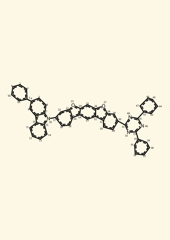 c1ccc(-c2ccc3c(c2)c2ccccc2n3-c2ccc3c(c2)oc2cc4oc5cc(-c6nc(-c7ccccc7)nc(-c7ccccc7)n6)ccc5c4cc23)cc1